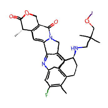 Cc1c(F)cc2nc3c(c4c2c1CC[C@@H]4NCC(C)(C)COI)Cn1c-3cc2c(c1=O)COC(=O)[C@H]2C